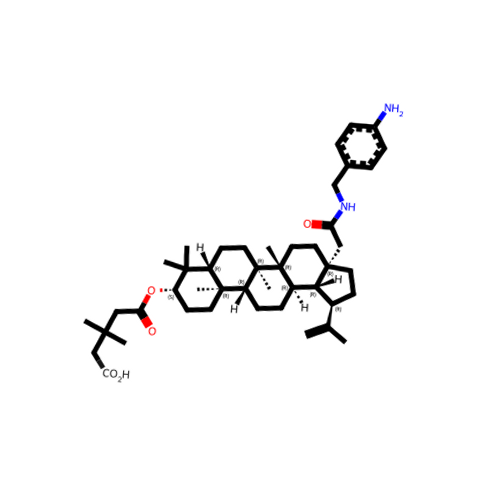 C=C(C)[C@@H]1CC[C@]2(CC(=O)NCc3ccc(N)cc3)CC[C@]3(C)[C@H](CC[C@@H]4[C@@]5(C)CC[C@H](OC(=O)CC(C)(C)CC(=O)O)C(C)(C)[C@@H]5CC[C@]43C)[C@@H]12